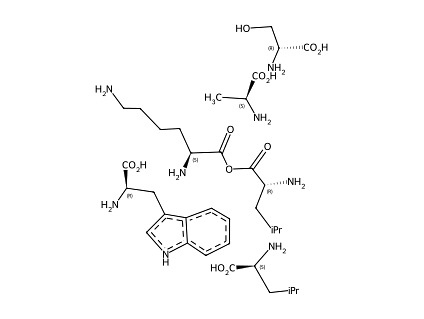 CC(C)C[C@@H](N)C(=O)OC(=O)[C@@H](N)CCCCN.CC(C)C[C@H](N)C(=O)O.C[C@H](N)C(=O)O.N[C@H](CO)C(=O)O.N[C@H](Cc1c[nH]c2ccccc12)C(=O)O